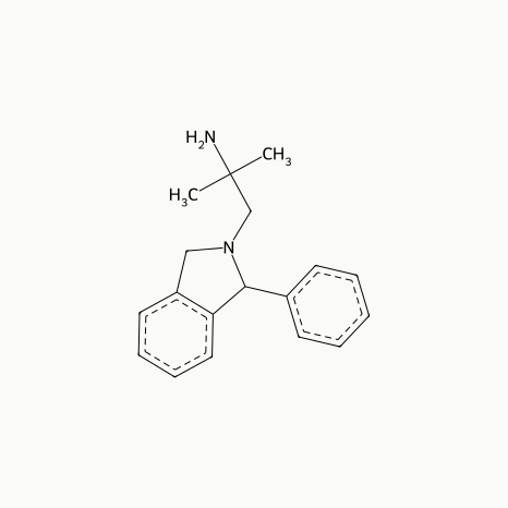 CC(C)(N)CN1Cc2ccccc2C1c1ccccc1